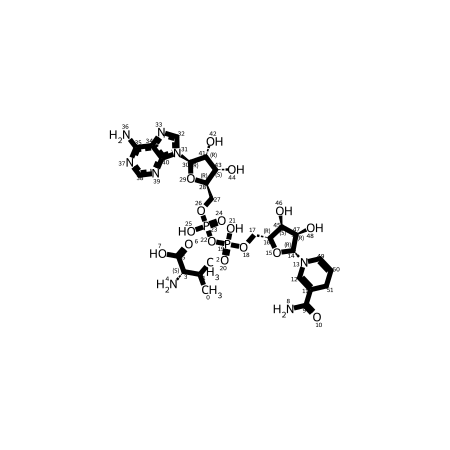 CC(C)[C@H](N)C(=O)O.NC(=O)C1=CN([C@@H]2O[C@H](COP(=O)(O)OP(=O)(O)OC[C@H]3O[C@@H](n4cnc5c(N)ncnc54)[C@H](O)[C@@H]3O)[C@@H](O)[C@H]2O)C=CC1